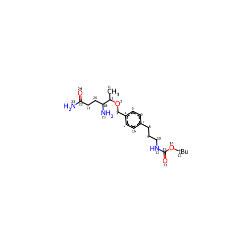 CC(OCc1ccc(CCCNC(=O)OC(C)(C)C)cc1)C(N)CCC(N)=O